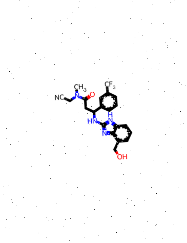 CN(CC#N)C(=O)CC(Nc1nc2c(CO)cccc2[nH]1)c1cccc(C(F)(F)F)c1